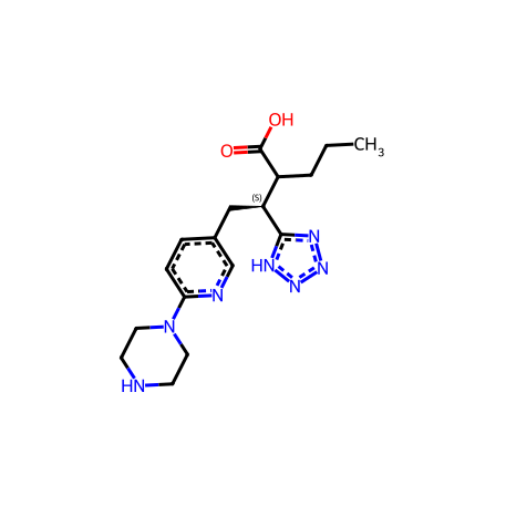 CCCC(C(=O)O)[C@H](Cc1ccc(N2CCNCC2)nc1)c1nnn[nH]1